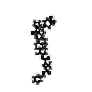 CC1C(OC(=O)C2CC(C(=O)OCc3ccccc3)C2(C)C)CCC2(C)C1CCC1C3CCC4(C(=O)N5CCCC5CN5CCS(=O)(=O)CC5)CCCC4C3CCC12